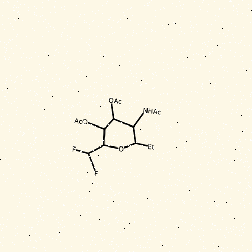 CCC1OC(C(F)F)C(OC(C)=O)C(OC(C)=O)C1NC(C)=O